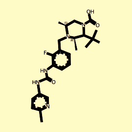 Cc1ccc(NC(=O)Nc2cccc(CN3[C@H](C)C(C(C)(C)C)N(C(=O)O)C[C@@H]3C)c2F)cn1